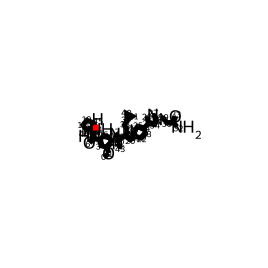 COc1cc(C(=O)N2C[C@H]3CC[C@@H]2[C@@H]3N)cc2nc(-c3cc4ccc(-c5cnn(CCC(N)=O)c5)cc4n3CC3CC3)n(C)c12